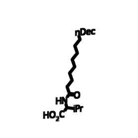 CCCCCCCCCCCCCCCCCCC(=O)NC(C(=O)O)C(C)C